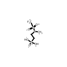 CN(CCP(=O)(O)O)S(=O)(=O)C(F)(F)F